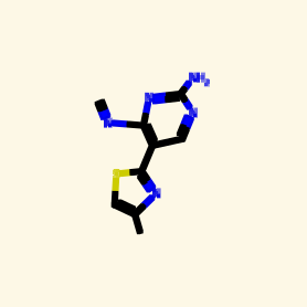 C=Nc1nc(N)ncc1-c1nc(C)cs1